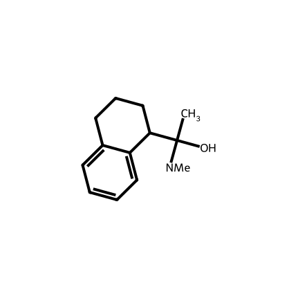 CNC(C)(O)C1CCCc2ccccc21